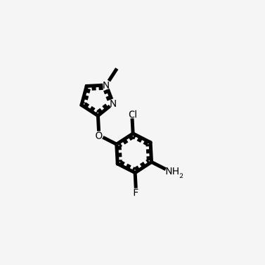 Cn1ccc(Oc2cc(F)c(N)cc2Cl)n1